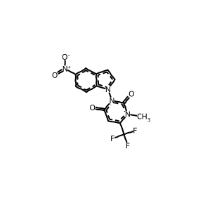 Cn1c(C(F)(F)F)cc(=O)n(-n2ccc3cc([N+](=O)[O-])ccc32)c1=O